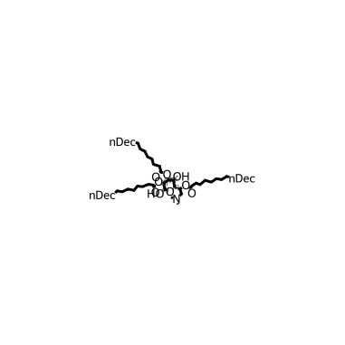 CCCCCCCCCCCCCCCCCC(=O)OC(CN(C)C)[C@H]1O[C@@H](O)[C@H](OC(=O)CCCCCCCCCCCCCCCCC)[C@@H](OC(=O)CCCCCCCCCCCCCCCCC)[C@@H]1O